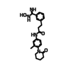 Cc1cc(NC(=O)CCc2cccc(C(=N)NO)c2)ccc1N1CCCCC1=O